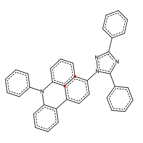 c1ccc(-c2nc(-c3ccccc3)n(-c3ccc(-c4ccccc4N(c4ccccc4)c4ccccc4)cc3)n2)cc1